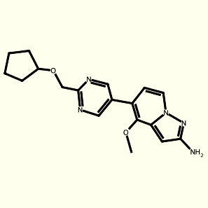 COc1c(-c2cnc(COC3CCCC3)nc2)ccn2nc(N)cc12